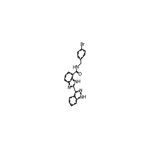 O=C(NCc1ccc(Br)cc1)c1cccc2nc(-c3n[nH]c4ccccc34)[nH]c12